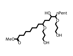 CCCCCC(OCCCO)C(O)CCC(CCCCCCCC(=O)OC)OCCCO